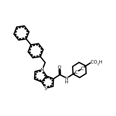 O=C(NC12CCC(C(=O)O)(CC1)CC2)c1csc2ccn(Cc3ccc(-c4ccccc4)cc3)c12